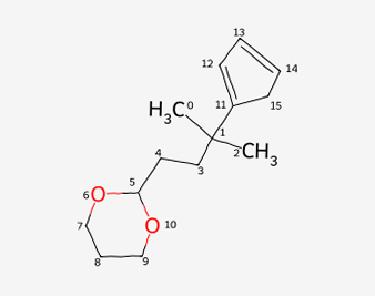 CC(C)(CCC1OCCCO1)C1=CC=CC1